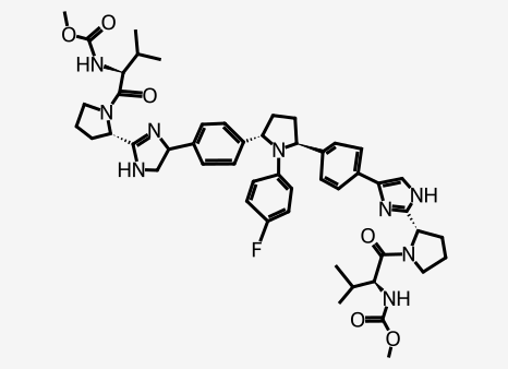 COC(=O)N[C@H](C(=O)N1CCC[C@H]1C1=NC(c2ccc([C@@H]3CC[C@@H](c4ccc(-c5c[nH]c([C@@H]6CCCN6C(=O)[C@@H](NC(=O)OC)C(C)C)n5)cc4)N3c3ccc(F)cc3)cc2)CN1)C(C)C